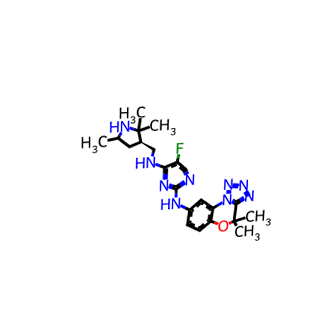 CC1C[C@H](CNc2nc(Nc3ccc4c(c3)-n3nnnc3C(C)(C)O4)ncc2F)C(C)(C)N1